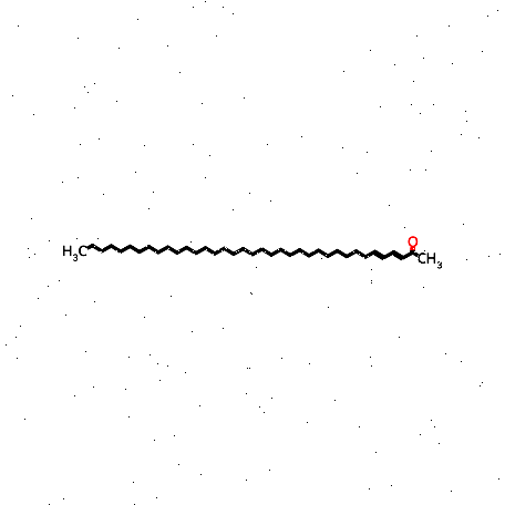 CCCCCCCCCCCCCCCCCCCCCCCCCCCCCCC/C=C/C=C/C(C)=O